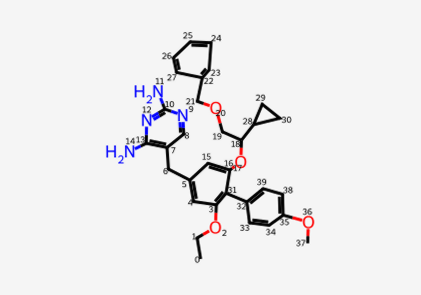 CCOc1cc(Cc2cnc(N)nc2N)cc(OC(COCc2ccccc2)C2CC2)c1-c1ccc(OC)cc1